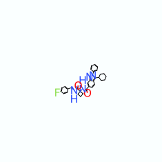 O=C(NC1(C(=O)NCc2ccc(F)cc2)CCC1)c1ccc2c(C3CCCCC3)n(-c3ccccc3)nc2c1